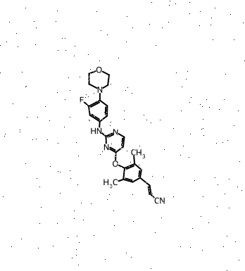 Cc1cc(/C=C/C#N)cc(C)c1Oc1ccnc(Nc2ccc(N3CCOCC3)c(F)c2)n1